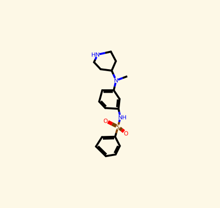 CN(c1cccc(NS(=O)(=O)c2ccccc2)c1)C1CCNCC1